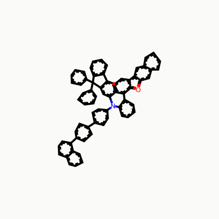 c1ccc(C2(c3ccccc3)c3ccccc3-c3ccc(N(c4ccc(-c5ccc(-c6cccc7ccccc67)cc5)cc4)c4ccccc4-c4cccc5c4oc4cc6ccccc6cc45)cc32)cc1